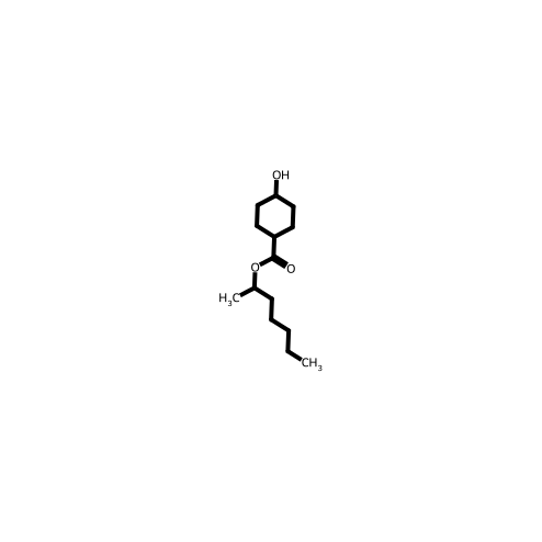 CCCCCC(C)OC(=O)C1CCC(O)CC1